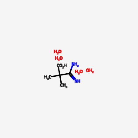 CC(C)(C(=N)N)C(=O)O.O.O.O.O